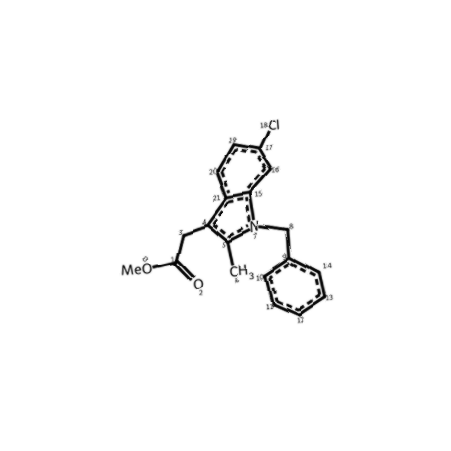 COC(=O)Cc1c(C)n(Cc2ccccc2)c2cc(Cl)ccc12